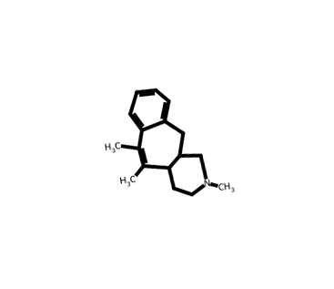 CC1=C(C)C2CCN(C)CC2Cc2ccccc21